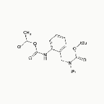 CC(Cl)OC(=O)Nc1ccccc1CN(C(=O)OC(C)(C)C)C(C)C